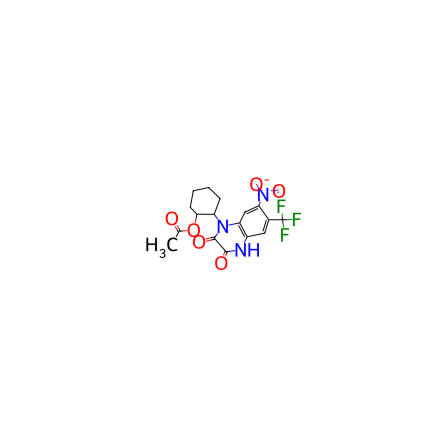 CC(=O)OC1CCCCC1n1c(=O)c(=O)[nH]c2cc(C(F)(F)F)c([N+](=O)[O-])cc21